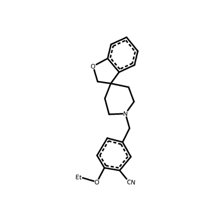 CCOc1ccc(CN2CCC3(CC2)COc2ccccc23)cc1C#N